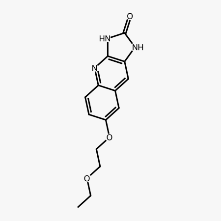 CCOCCOc1ccc2nc3[nH]c(=O)[nH]c3cc2c1